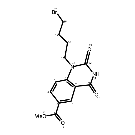 COC(=O)c1ccc2c(c1)c(=O)[nH]c(=O)n2CCCCBr